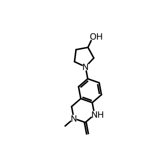 C=C1Nc2ccc(N3CCC(O)C3)cc2CN1C